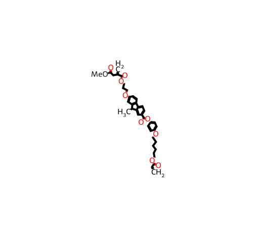 C=CC(=O)OCCCCCCOc1ccc(OC(=O)c2ccc3c(c2)C(C)c2cc(OCCCOC(=O)C(=C)CC(=O)OC)ccc2-3)cc1